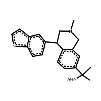 CNC(C)(C)c1ccc2c(c1)CN(C)CC2c1ccc2[nH]ccc2c1